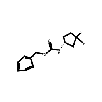 O=C(N[C@@H]1CCC(F)(F)C1)OCc1ccccc1